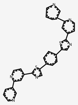 c1cncc(-c2cc(-c3ncc(-c4ccc(-c5cnc(-c6ccnc(-c7cccnc7)c6)s5)cc4)s3)ccn2)c1